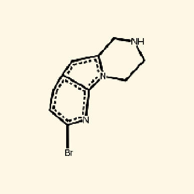 Brc1ccc2cc3n(c2n1)CCNC3